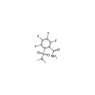 CN(C)S(=O)(=O)c1c(F)c(F)c(F)c(F)c1C(N)=O